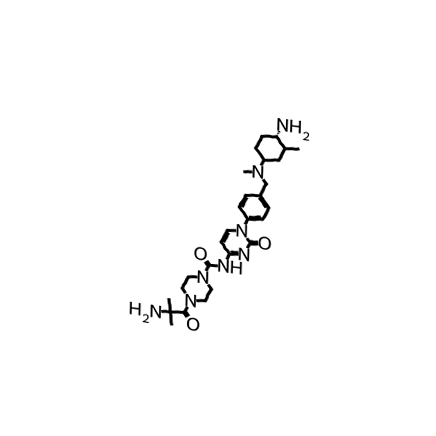 CC1CC(N(C)Cc2ccc(-n3ccc(NC(=O)N4CCN(C(=O)C(C)(C)N)CC4)nc3=O)cc2)CC[C@@H]1N